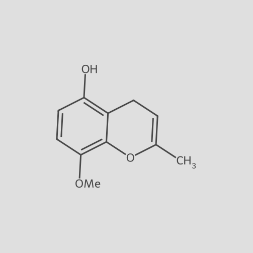 COc1ccc(O)c2c1OC(C)=CC2